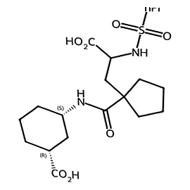 CCCS(=O)(=O)NC(CC1(C(=O)N[C@H]2CCC[C@@H](C(=O)O)C2)CCCC1)C(=O)O